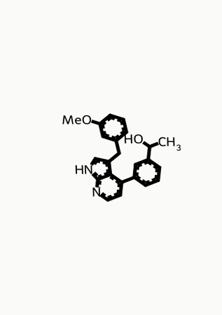 COc1cccc(Cc2c[nH]c3nccc(-c4cccc(C(C)O)c4)c23)c1